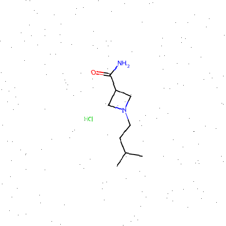 CC(C)CCN1CC(C(N)=O)C1.Cl